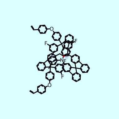 C=Cc1ccc(Oc2ccc(C3(c4cc(F)cc(F)c4)c4ccccc4-c4ccc(C/C=C(\c5cccc(F)c5)c5ccc6c(c5)C5(c7ccccc7-6)c6ccccc6-c6ccc(N(c7cccc(C)c7)c7ccc8c(c7)C(c7ccc(Oc9ccc(C=C)cc9)cc7)(c7cc(F)cc(F)c7)c7ccccc7-8)cc65)cc43)cc2)cc1